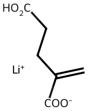 C=C(CCC(=O)O)C(=O)[O-].[Li+]